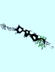 CCCCCC1CCC(c2ccc(-c3ccc(C(F)(F)C(F)(F)C(F)(F)C(F)(F)F)cc3)cc2)CC1